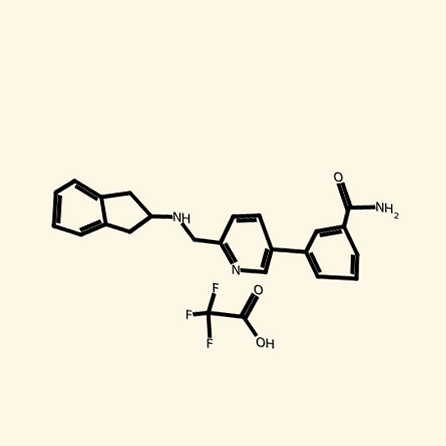 NC(=O)c1cccc(-c2ccc(CNC3Cc4ccccc4C3)nc2)c1.O=C(O)C(F)(F)F